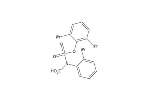 CC(C)c1ccccc1N(C(=O)O)S(=O)(=O)Oc1c(C(C)C)cccc1C(C)C